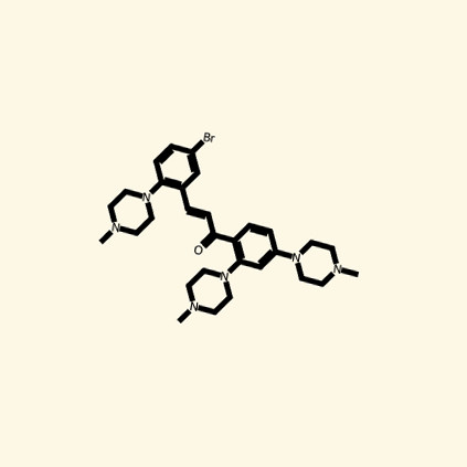 CN1CCN(c2ccc(C(=O)C=Cc3cc(Br)ccc3N3CCN(C)CC3)c(N3CCN(C)CC3)c2)CC1